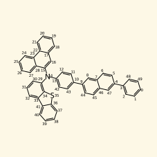 c1ccc(-c2ccc3cc(-c4ccc(N(c5cc6ccccc6c6ccccc56)c5cccc6c5sc5ccccc56)cc4)ccc3c2)cc1